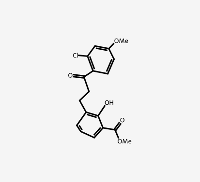 COC(=O)c1cccc(CCC(=O)c2ccc(OC)cc2Cl)c1O